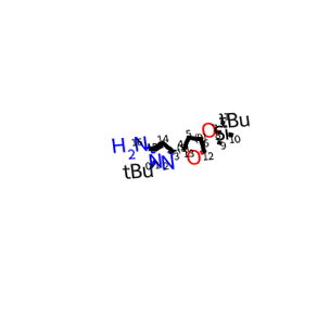 CC(C)(C)n1nc([C@@H]2C[C@@H](O[Si](C)(C)C(C)(C)C)CO2)cc1N